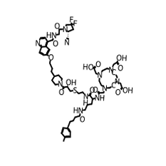 Cc1ccc(CCCC(=O)NCCCC(NC(=O)CN2CCN(CC(=O)O)CCN(CC(=O)O)CCN(CC(=O)O)CC2)C(=O)NCCSC[C@@H](O)C(=O)N2CCC(CCCOc3ccc4nccc(C(=O)NCC(=O)N5CC(F)(F)C[C@@H]5C#N)c4c3)CC2)cc1